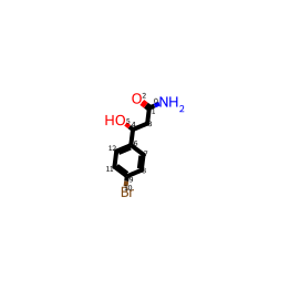 NC(=O)CC(O)c1ccc(Br)cc1